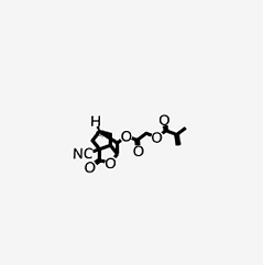 C=C(C)C(=O)OCC(=O)OC1C2OC(=O)C3(C#N)C[C@@H]1CC23